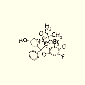 CC(C)(C)S(=O)(=O)N1CC(O)CC1C1(c2ccccc2)Cc2c(cc(F)c(Cl)c2Br)O1